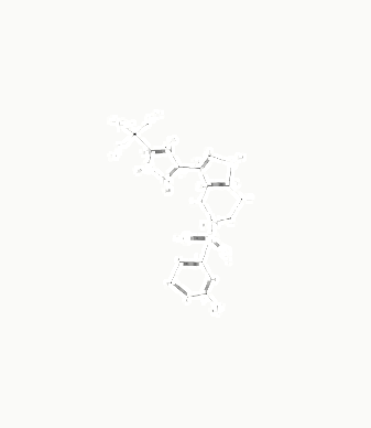 O=S(=O)(c1cccc(F)c1)N1CCc2scc(-c3noc(C(F)(F)F)n3)c2C1